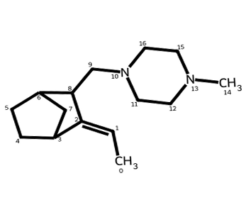 CC=C1C2CCC(C2)C1CN1CCN(C)CC1